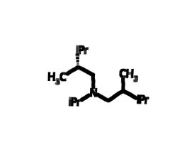 CC(C)C(C)CN(C[C@H](C)C(C)C)C(C)C